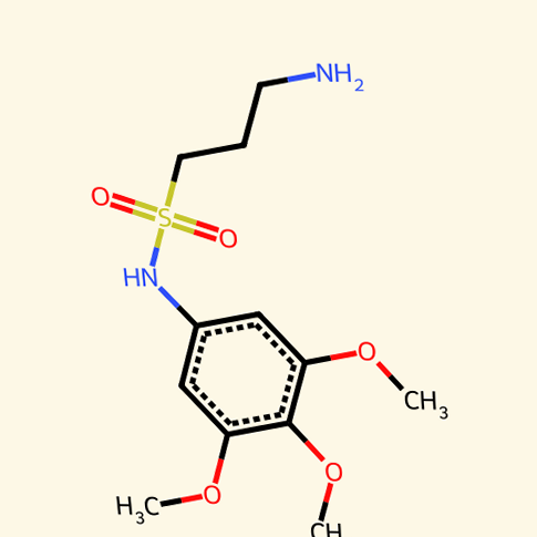 COc1cc(NS(=O)(=O)CCCN)cc(OC)c1OC